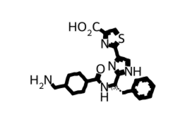 NCC1CCC(C(=O)N[C@@H](Cc2ccccc2)c2nc(-c3nc(C(=O)O)cs3)c[nH]2)CC1